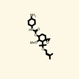 COC1C(OC(=O)NC2CCC(N)CC2)CCC2(CO2)C1C(C)(C)OCC=C(C)C